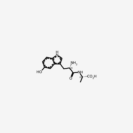 C[C@H](NC(=O)[C@@H](N)Cc1c[nH]c2ccc(O)cc12)C(=O)O